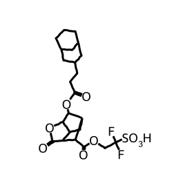 O=C(CCC1CC2CCCC(C2)C1)OC1C2CC3C1OC(=O)C3C2C(=O)OCC(F)(F)S(=O)(=O)O